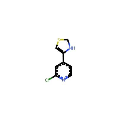 Clc1cc(C2=CSCN2)ccn1